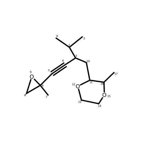 CC(C)C(C#CC1(C)CO1)CC1OCCOC1C